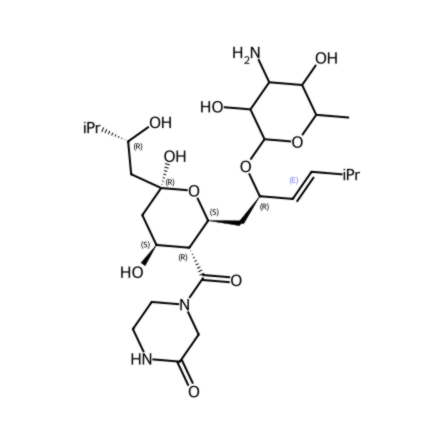 CC(C)/C=C/[C@@H](C[C@@H]1O[C@](O)(C[C@@H](O)C(C)C)C[C@H](O)[C@H]1C(=O)N1CCNC(=O)C1)OC1OC(C)C(O)C(N)C1O